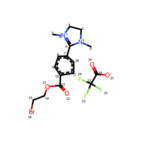 CN1CC[N+](C)=C1c1ccc(C(=O)OCCBr)cc1.O=C([O-])C(F)(F)F